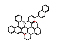 c1ccc(N(c2ccc(-c3ccc4ccccc4c3)cc2)c2ccccc2-c2cccc3cccc(C4CCCCC4)c23)c(-c2cccc3ccccc23)c1